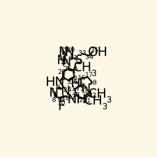 Cc1ccc(Nc2ncc(F)c(N[C@@H]3C[C@@H]4CCCN4C(C)(C)C3)n2)cc1-n1nnnc1SCCO